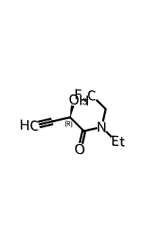 C#C[C@@H](O)C(=O)N(CC)CC(F)(F)F